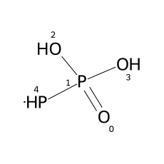 O=P(O)(O)[PH]